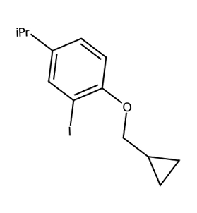 CC(C)c1ccc(OCC2CC2)c(I)c1